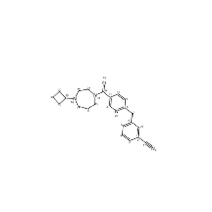 N#Cc1cccc(Cc2ccc(C(=O)N3CCCN(C4CCC4)CC3)cn2)c1